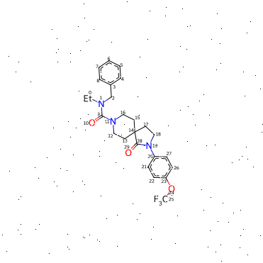 CCN(Cc1ccccc1)C(=O)N1CCC2(CC1)CCN(c1ccc(OC(F)(F)F)cc1)C2=O